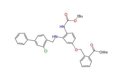 COC(=O)c1ccccc1COc1ccc(NC(=O)OC(C)(C)C)c(NCc2ccc(-c3ccccc3)cc2Cl)c1